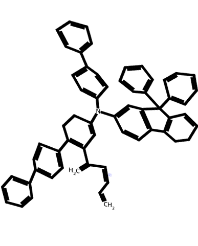 C=C/C=C\C(=C)C1=C(c2ccc(-c3ccccc3)cc2)CCC(N(c2ccc(-c3ccccc3)cc2)c2ccc3c(c2)C(c2ccccc2)(c2ccccc2)C2=C3CCC=C2)=C1